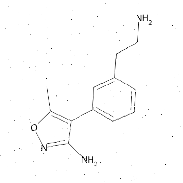 Cc1onc(N)c1-c1cccc(CCN)c1